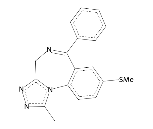 CSc1ccc2c(c1)C(c1ccccc1)=NCc1nnc(C)n1-2